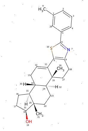 Cc1cccc(-c2nc3c(s2)C2=CC[C@H]4[C@@H]5CC[C@H](O)[C@@]5(C)CC[C@@H]4[C@@]2(C)CC3)c1